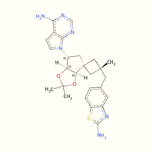 CC1(C)O[C@H]2[C@H](n3ccc4c(N)ncnc43)C[C@]3(C[C@@](C)(Cc4ccc5sc(N)nc5c4)C3)[C@H]2O1